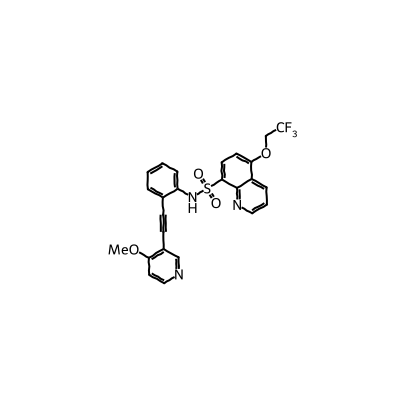 COc1ccncc1C#Cc1ccccc1NS(=O)(=O)c1ccc(OCC(F)(F)F)c2cccnc12